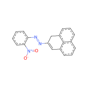 O=[N+]([O-])c1ccccc1N=NC1=Cc2cccc3cccc(c23)C1